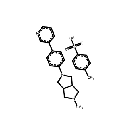 CN1CC2CN(c3ccc(-c4cccnc4)cc3)CC2C1.Cc1ccc(S(=O)(=O)O)cc1